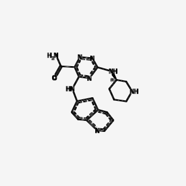 NC(=O)c1nnc(N[C@@H]2CCCNC2)nc1Nc1ccc2ncccc2c1